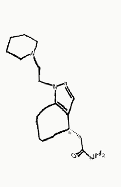 NC(=O)C[C@@H]1CCCc2c1cnn2CCN1CCCCC1